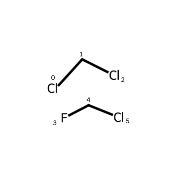 ClCCl.FCCl